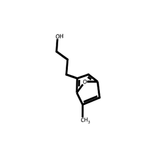 Cc1cc2cc(CCCO)c1o2